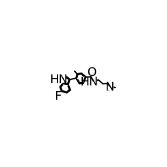 Cc1cc(C(=O)NCCCN(C)C)ccc1-c1c[nH]c2cc(F)ccc12